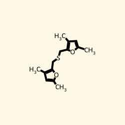 Cc1cc(C)c(CSCc2oc(C)cc2C)o1